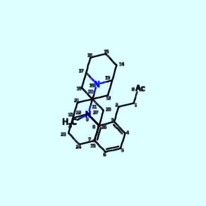 CC(=O)CCc1ccccc1N(C)C1CC2CCCC(C1)N2C1CC2CCCC(C2)C1